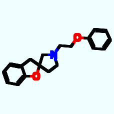 c1ccc(OCCN2CCC3(Cc4ccccc4O3)C2)cc1